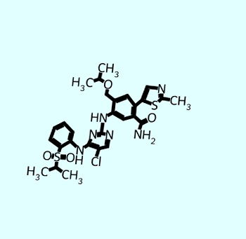 Cc1ncc(-c2cc(COC(C)C)c(Nc3ncc(Cl)c(Nc4ccccc4S(=O)(=O)C(C)C)n3)cc2C(N)=O)s1